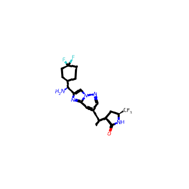 CC(c1cnn2cc([C@@H](N)C3CCC(F)(F)CC3)nc2c1)C1C[C@@H](C(F)(F)F)NC1=O